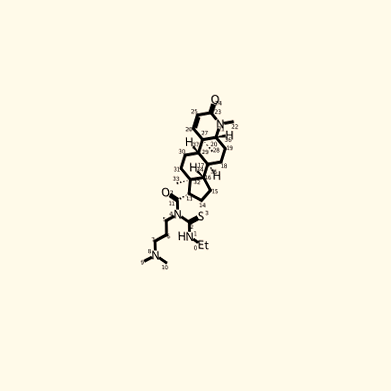 CCNC(=S)N(CCCN(C)C)C(=O)[C@H]1CC[C@H]2[C@@H]3CC[C@H]4N(C)C(=O)C=C[C@]4(C)[C@H]3CC[C@]12C